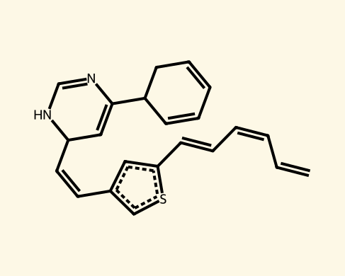 C=C/C=C\C=C\c1cc(/C=C\C2C=C(C3C=CC=CC3)N=CN2)cs1